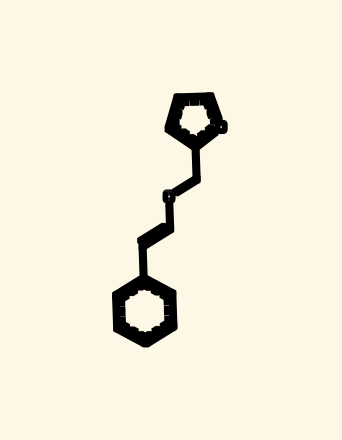 C(=Cc1ccccc1)OCc1ccco1